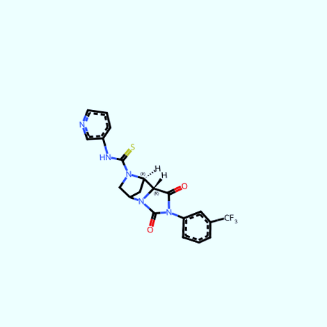 O=C1[C@H]2[C@H]3CC(CN3C(=S)Nc3cccnc3)N2C(=O)N1c1cccc(C(F)(F)F)c1